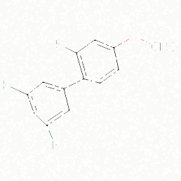 O=COc1ccc(-c2cc(F)cc(F)c2)c(F)c1